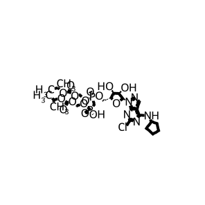 CC(C)OC(=O)OCOP(=O)(O)CP(=O)(OCOC(=O)OC(C)C)OC[C@H]1O[C@@H](n2ncc3c(NC4CCCC4)nc(Cl)nc32)[C@H](O)[C@@H]1O